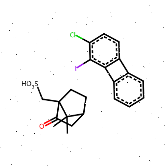 CC1(C)C2CCC1(CS(=O)(=O)O)C(=O)C2.Clc1ccc2c(c1I)-c1ccccc1-2